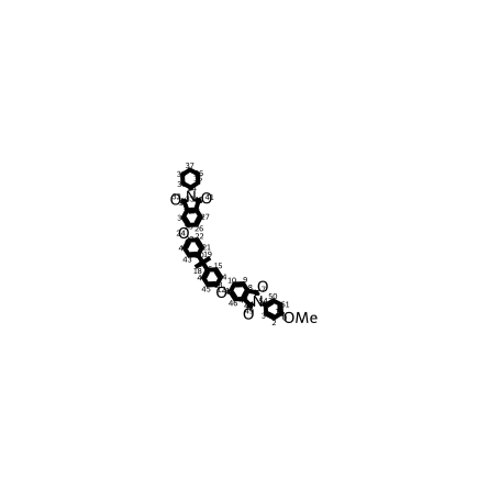 COc1ccc(N2C(=O)c3ccc(Oc4ccc(C(C)(C)c5ccc(Oc6ccc7c(c6)C(=O)N(C6CCCCC6)C7=O)cc5)cc4)cc3C2=O)cc1